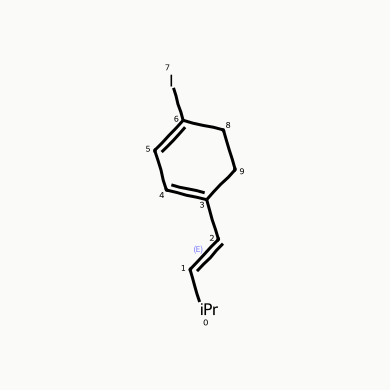 CC(C)/C=C/C1=CC=C(I)CC1